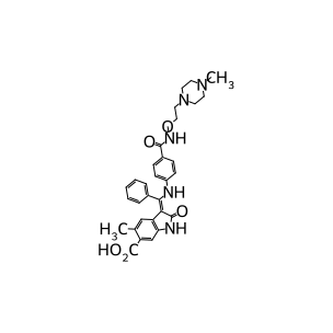 Cc1cc2c(cc1C(=O)O)NC(=O)/C2=C(\Nc1ccc(C(=O)NOCCN2CCN(C)CC2)cc1)c1ccccc1